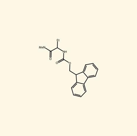 CCC(NC(=O)OCC1c2ccccc2-c2ccccc21)C(=O)NC